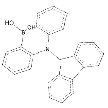 OB(O)c1ccccc1N(c1ccccc1)C1c2ccccc2-c2ccccc21